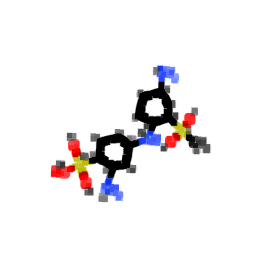 CS(=O)(=O)c1cc(N)ccc1Nc1ccc(S(=O)(=O)O)c(N)c1